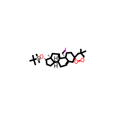 CC1(C)COOC2(CC[C@@]3(CI)C(=CC[C@@H]4C3=CC[C@]3(C)[C@@H](O[Si](C)(C)C(C)(C)C)CC[C@@H]43)C2)C1